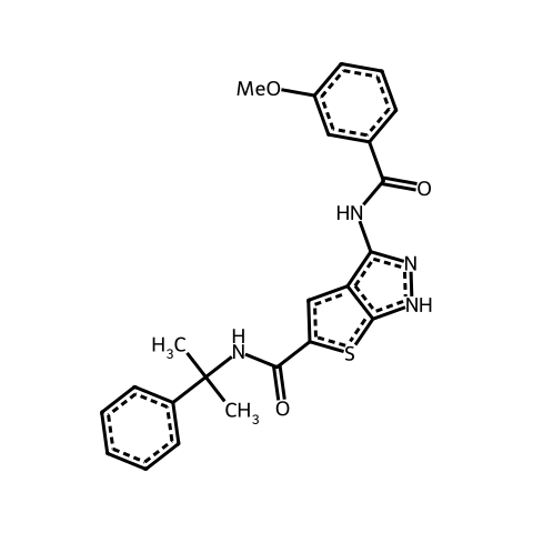 COc1cccc(C(=O)Nc2n[nH]c3sc(C(=O)NC(C)(C)c4ccccc4)cc23)c1